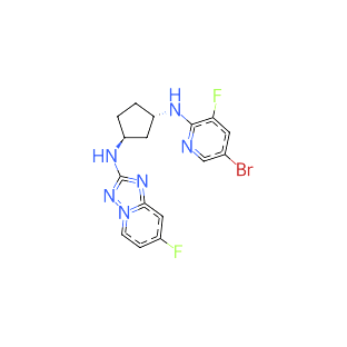 Fc1ccn2nc(N[C@H]3CC[C@H](Nc4ncc(Br)cc4F)C3)nc2c1